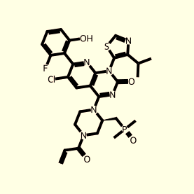 C=CC(=O)N1CCN(c2nc(=O)n(-c3scnc3C(C)C)c3nc(-c4c(O)cccc4F)c(Cl)cc23)[C@@H](CP(C)(C)=O)C1